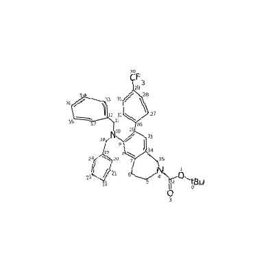 CC(C)(C)OC(=O)N1CCc2cc(N(Cc3ccccc3)Cc3ccccc3)c(-c3ccc(C(F)(F)F)cc3)cc2C1